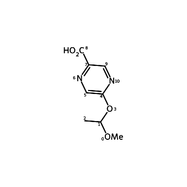 COC(C)Oc1cnc(C(=O)O)cn1